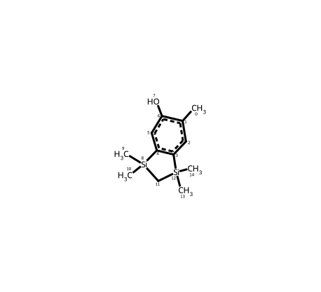 Cc1cc2c(cc1O)[Si](C)(C)C[Si]2(C)C